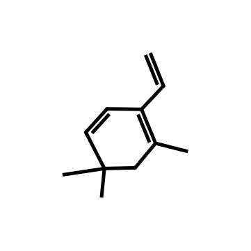 C=CC1=C(C)CC(C)(C)C=C1